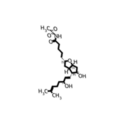 CC(C)=CCC[C@H](O)C=C[C@@H]1[C@H]2C[C@H](CCCCC(=O)NS(C)(=O)=O)O[C@H]2C[C@H]1O